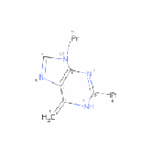 C=C1NC(C(C)C)=Nc2c1ncn2C(C)C